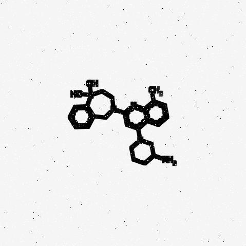 Cc1cccc2c(N3CCCC(N)C3)cc(N3CCS(O)(O)c4ccccc4C3)nc12